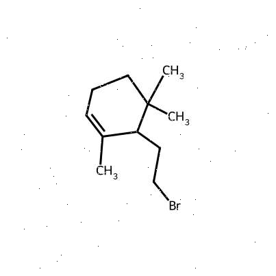 CC1=CCCC(C)(C)C1CCBr